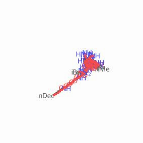 CCCCCCCCCCCCCCCCCCCC(=O)NCCOCCOCCOCCOCCC(=O)NCCCC[C@H](NC(=O)[C@@H](N)[C@@H](C)CC)C(=O)N1CCN(c2ccc3ncn(CC(=O)N[C@@H](CCCNC(=N)N)C(=O)N[C@@H](Cc4c[nH]cn4)C(=O)N[C@@H](Cc4ccc(O)cc4)C(=O)N[C@@H](CC(C)C)C(=O)N[C@@H](CC(N)=O)C(=O)N[C@@H](Cc4c[nH]c5ccccc45)C(=O)N[C@H](C(=O)NC)C(C)C)c(=O)c3c2)CC1